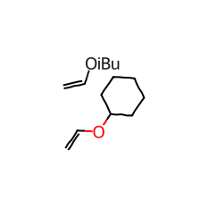 C=COC1CCCCC1.C=COCC(C)C